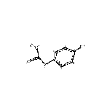 O=C(OCl)Sc1ccc(F)cc1